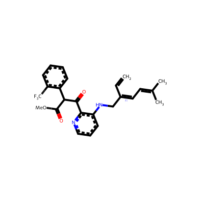 C=C/C(=C\C=C(C)C)CNc1cccnc1C(=O)C(C(=O)OC)c1ccccc1C(F)(F)F